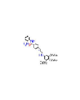 COc1cc(NC/C=C/c2ccc(C(=O)Nc3ccccc3N)cc2)cc(OC)c1OC